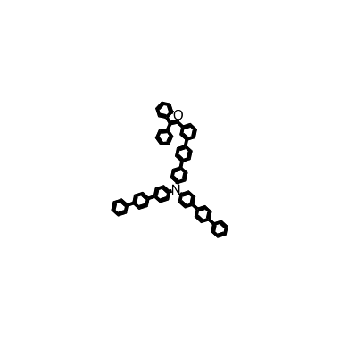 c1ccc(-c2ccc(-c3ccc(N(c4ccc(-c5ccc(-c6ccccc6)cc5)cc4)c4ccc(-c5ccc(-c6cccc(-c7oc8ccccc8c7-c7ccccc7)c6)cc5)cc4)cc3)cc2)cc1